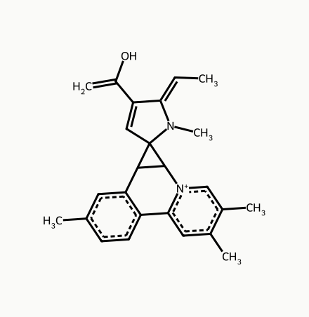 C=C(O)C1=CC2(C3c4cc(C)ccc4-c4cc(C)c(C)c[n+]4C32)N(C)/C1=C\C